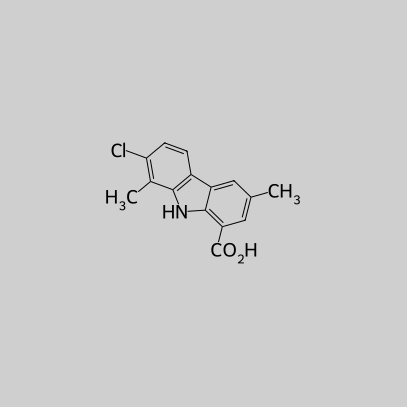 Cc1cc(C(=O)O)c2[nH]c3c(C)c(Cl)ccc3c2c1